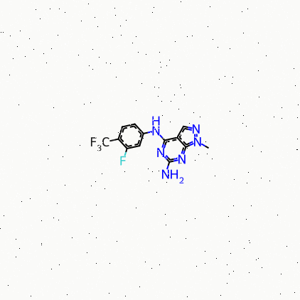 Cn1ncc2c(Nc3ccc(C(F)(F)F)c(F)c3)nc(N)nc21